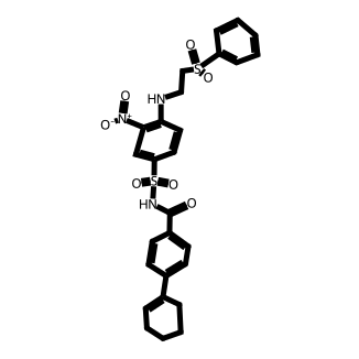 O=C(NS(=O)(=O)c1ccc(NCCS(=O)(=O)c2ccccc2)c([N+](=O)[O-])c1)c1ccc(C2=CCCCC2)cc1